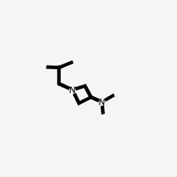 C[C](C)CN1CC(N(C)C)C1